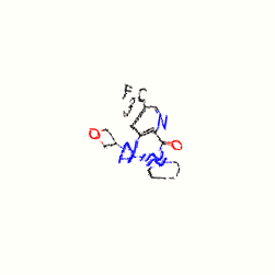 O=C(NN1CCCCC1)c1ncc(C(F)(F)F)cc1NC1COC1